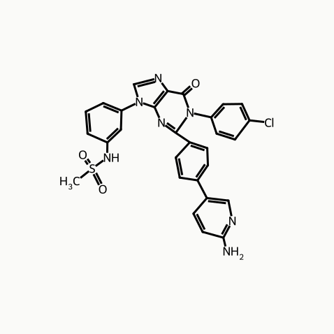 CS(=O)(=O)Nc1cccc(-n2cnc3c(=O)n(-c4ccc(Cl)cc4)c(-c4ccc(-c5ccc(N)nc5)cc4)nc32)c1